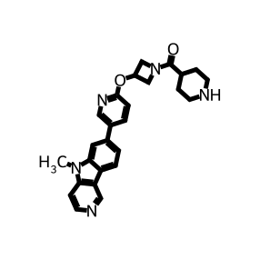 Cn1c2ccncc2c2ccc(-c3ccc(OC4CN(C(=O)C5CCNCC5)C4)nc3)cc21